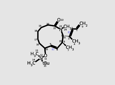 C=C/C=C(\C)[C@@H]1[C@@H](C)/C=C/C(O[Si](C)(C)C(C)(C)C)CCCCCC(=O)N1C